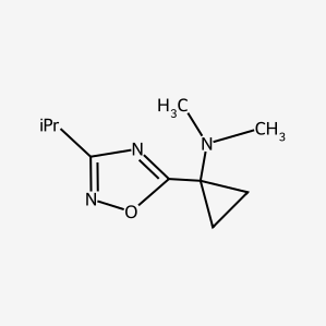 CC(C)c1noc(C2(N(C)C)CC2)n1